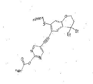 CCCCCCSc1cc2c(cc1C#Cc1cnc(OC(=O)CCC)nc1)C(CC)(CC)CCO2